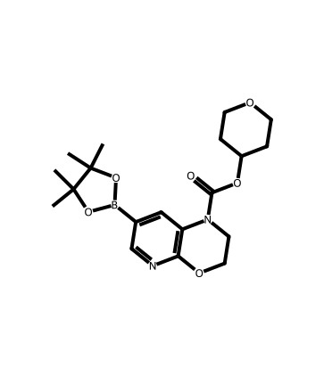 CC1(C)OB(c2cnc3c(c2)N(C(=O)OC2CCOCC2)CCO3)OC1(C)C